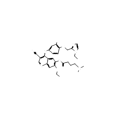 CCOc1cc2ncc(C#N)c(Nc3ccc(OCc4nccn4CC)c(Cl)c3)c2cc1NC(=O)CCCN(C)C